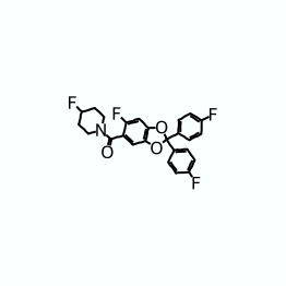 O=C(c1cc2c(cc1F)OC(c1ccc(F)cc1)(c1ccc(F)cc1)O2)N1CCC(F)CC1